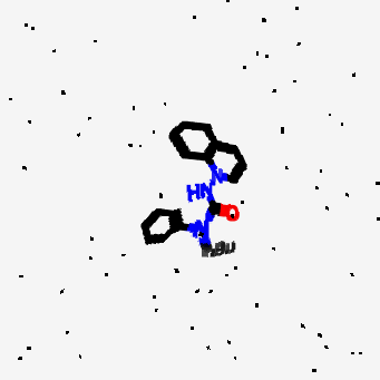 CCCCN(C(=O)NN1C=CC=C2C=CC=CC21)c1ccccc1